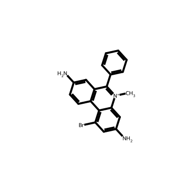 C[n+]1c(-c2ccccc2)c2cc(N)ccc2c2c(Br)cc(N)cc21